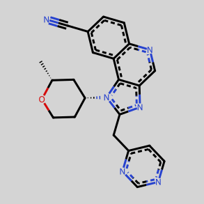 C[C@@H]1C[C@H](n2c(Cc3ccncn3)nc3cnc4ccc(C#N)cc4c32)CCO1